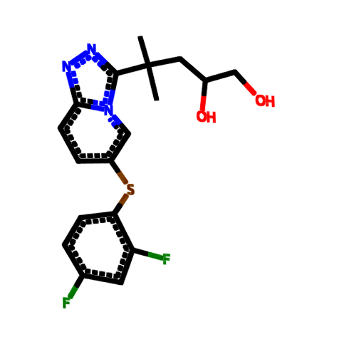 CC(C)(CC(O)CO)c1nnc2ccc(Sc3ccc(F)cc3F)cn12